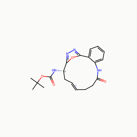 CC(C)(C)OC(=O)N[C@H]1C/C=C/CCC(=O)Nc2ccccc2-c2nnc1o2